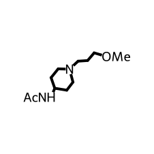 COCCCN1CCC(NC(C)=O)CC1